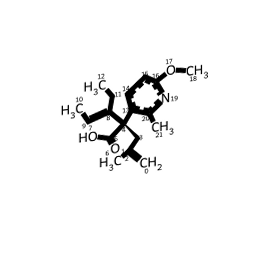 C=C(C)C[C@@](C(=O)O)(/C(=C/C)CC)c1ccc(OC)nc1C